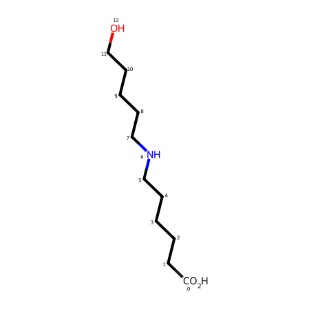 O=C(O)CCCCCNCCCCCO